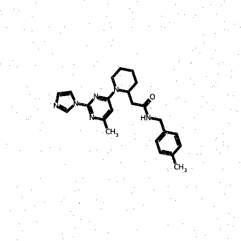 Cc1ccc(CNC(=O)CC2CCCCN2c2cc(C)nc(-n3ccnc3)n2)cc1